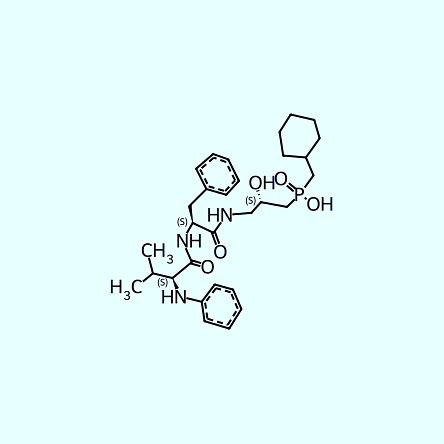 CC(C)[C@H](Nc1ccccc1)C(=O)N[C@@H](Cc1ccccc1)C(=O)NC[C@H](O)CP(=O)(O)CC1CCCCC1